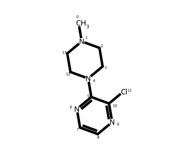 CN1CCN(c2nccnc2Cl)CC1